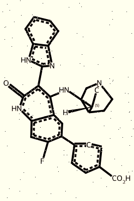 O=C(O)c1ccc(-c2cc3c(N[C@@H]4CN5CCC4CC5)c(-c4nc5ccccc5[nH]4)c(=O)[nH]c3cc2F)cc1